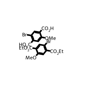 CCOC(=O)c1cc(OC)c(C(=O)OCC)cc1Br.COc1cc(C(=O)O)c(Br)cc1C(=O)O